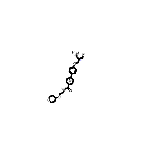 NC/C(=C\F)COc1ccc(C23CCC(C(=O)NCCOC4CCOCC4)(CC2)CC3)cc1